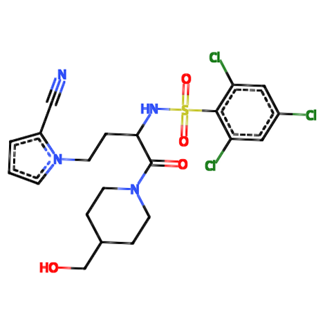 N#Cc1cccn1CCC(NS(=O)(=O)c1c(Cl)cc(Cl)cc1Cl)C(=O)N1CCC(CO)CC1